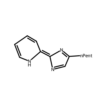 CCCCCC1=NC(=C2C=CC=CN2)N=C1